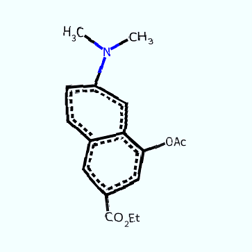 CCOC(=O)c1cc(OC(C)=O)c2cc(N(C)C)ccc2c1